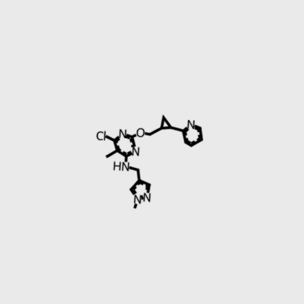 Cc1c(Cl)nc(OCC2CC2c2ccccn2)nc1NCc1cnn(C)c1